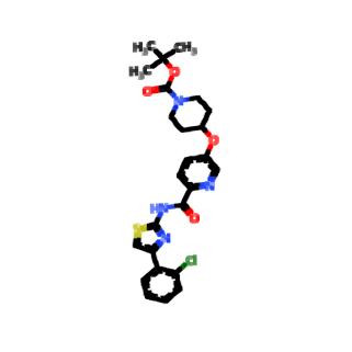 CC(C)(C)OC(=O)N1CCC(Oc2ccc(C(=O)Nc3nc(-c4ccccc4Cl)cs3)nc2)CC1